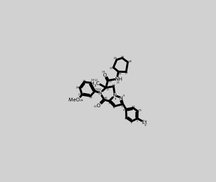 CCc1ccc(-c2cc3n(n2)CC(C)(C(=O)NC2CCCCC2)N(c2cccc(OC)c2)C3=O)cc1